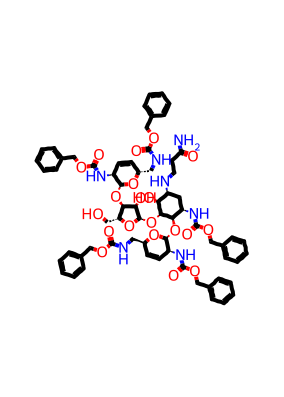 NC(=O)CCN[C@@H]1C[C@H](NC(=O)OCc2ccccc2)[C@@H](O[C@H]2O[C@H](CNC(=O)OCc3ccccc3)C=C[C@H]2NC(=O)OCc2ccccc2)[C@H](O[C@@H]2O[C@H](CO)[C@@H](O[C@H]3O[C@@H](CNC(=O)OCc4ccccc4)C=C[C@H]3NC(=O)OCc3ccccc3)[C@H]2O)[C@H]1O